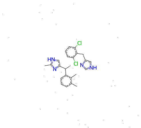 Cc1nc(C(C)c2cccc(C)c2C)c[nH]1.Clc1cccc(Cl)c1Cc1c[nH]cn1